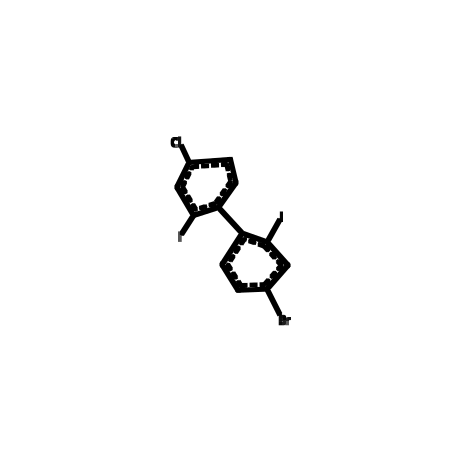 Clc1ccc(-c2ccc(Br)cc2I)c(I)c1